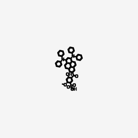 COc1cc(O)c(C(=O)c2cc3ccc4c(N(c5ccccc5)c5ccccc5)cc(N(c5ccccc5)c5ccccc5)c5ccc(c2)c3c45)cc1S(=O)(=O)O